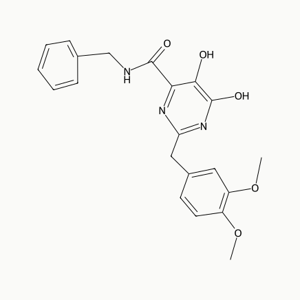 COc1ccc(Cc2nc(O)c(O)c(C(=O)NCc3ccccc3)n2)cc1OC